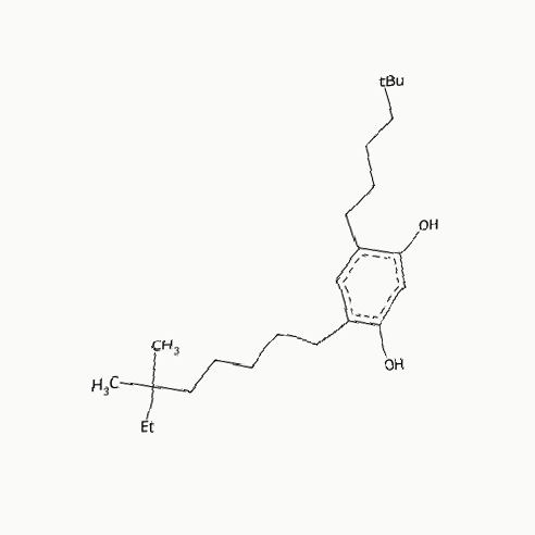 CCC(C)(C)CCCCCc1cc(CCCCC(C)(C)C)c(O)cc1O